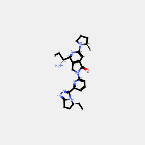 CC[C@H]1CCc2nnc(-c3cccc(N4Cc5c(cc(N6CCC[C@H]6C)nc5[C@H](N)CC)C4=O)n3)n21